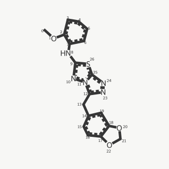 COc1ccccc1Nc1nn2c(Cc3ccc4c(c3)OCO4)nnc2s1